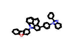 c1ccc(-c2nc3ccccc3n2-c2ccc(-c3ccc4c5c3ccc3cccc(c35)n4-c3ccc4oc5ccccc5c4c3)cc2)cc1